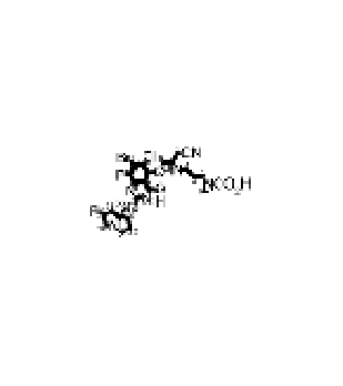 CN(CCCNC(CC#N)COc1c(Cl)c(Br)c(F)c2nc(OC[C@@]34CCCN3C[C@H](F)C4)nc(O)c12)C(=O)O